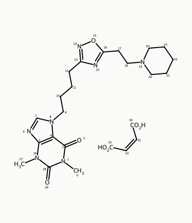 Cn1c(=O)c2c(ncn2CCCCc2noc(CCN3CCCCC3)n2)n(C)c1=O.O=C(O)/C=C\C(=O)O